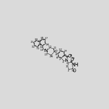 O=C1CCC(N2Cc3cc(C4CCN(Cc5cccc6ccccc56)CC4)ccc3C2=O)C(=O)N1